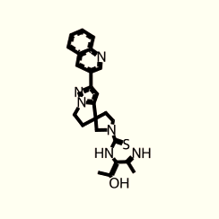 CC(=N)/C(NC(=S)N1CCC2(CCn3nc(-c4cnc5ccccc5c4)cc32)C1)=C(/C)O